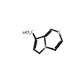 O=C(O)C1=CCN2C=COC=C12